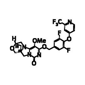 COc1c(OCc2cc(F)c(Oc3ccnc(C(F)(F)F)c3)c(F)c2)nc(=O)n2c1N1C[C@@H]3C[C@]1(CO3)C2